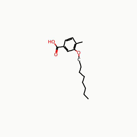 CCCCCCCCOc1cc(C(=O)O)ccc1C